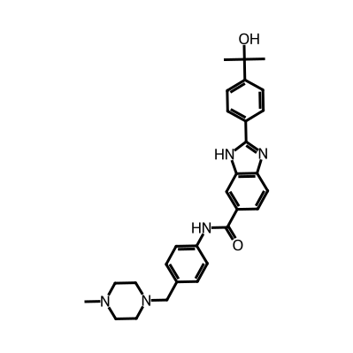 CN1CCN(Cc2ccc(NC(=O)c3ccc4nc(-c5ccc(C(C)(C)O)cc5)[nH]c4c3)cc2)CC1